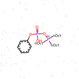 CCCCCCCC[PH](CCCCCCCC)(CCCCCCCC)OP(=O)(O)Oc1ccccc1